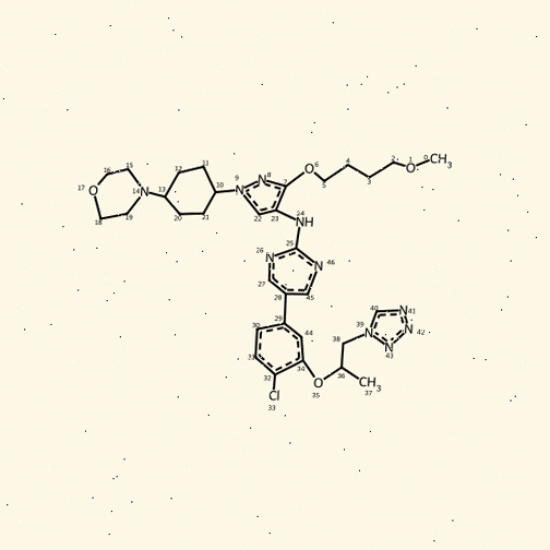 COCCCCOc1nn(C2CCC(N3CCOCC3)CC2)cc1Nc1ncc(-c2ccc(Cl)c(OC(C)Cn3cnnn3)c2)cn1